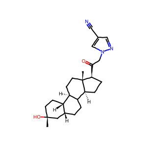 C[C@@]1(O)CC[C@H]2[C@H](CCC3[C@@H]2CC[C@]2(C)[C@@H](C(=O)Cn4cc(C#N)cn4)CC[C@@H]32)C1